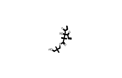 C=CC(=O)C(O)(C(=O)C=C)C(C)(C)C(=O)OCC(C)(C)CO